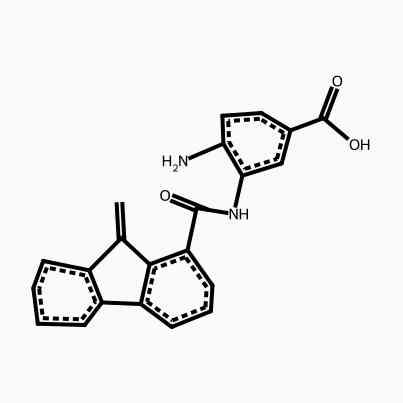 C=C1c2ccccc2-c2cccc(C(=O)Nc3cc(C(=O)O)ccc3N)c21